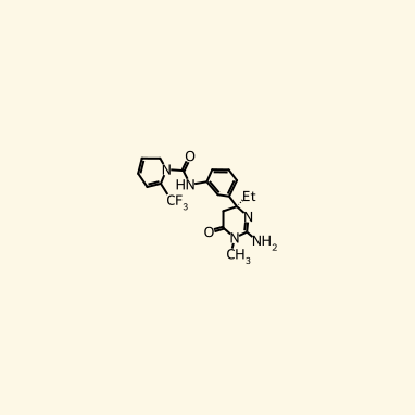 CC[C@@]1(c2cccc(NC(=O)N3CC=CC=C3C(F)(F)F)c2)CC(=O)N(C)C(N)=N1